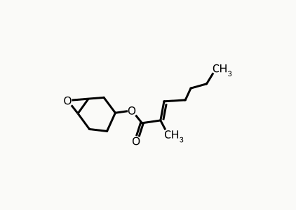 CCCCC=C(C)C(=O)OC1CCC2OC2C1